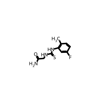 Cc1ccc(F)cc1NC(=S)NCC(N)=O